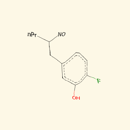 CCCC(Cc1ccc(F)c(O)c1)N=O